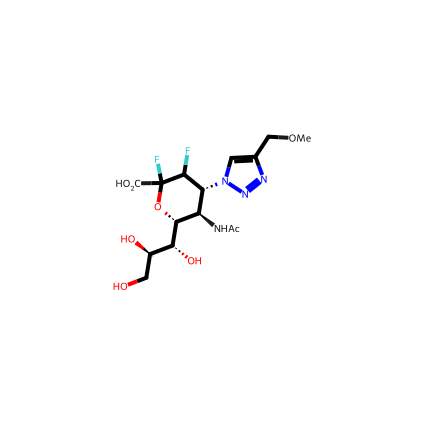 COCc1cn([C@H]2C(F)C(F)(C(=O)O)O[C@@H]([C@H](O)[C@H](O)CO)[C@@H]2NC(C)=O)nn1